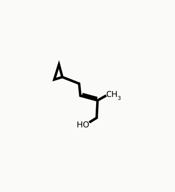 C/C(=C\CC1CC1)CO